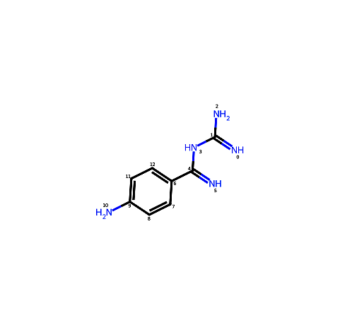 N=C(N)NC(=N)c1ccc(N)cc1